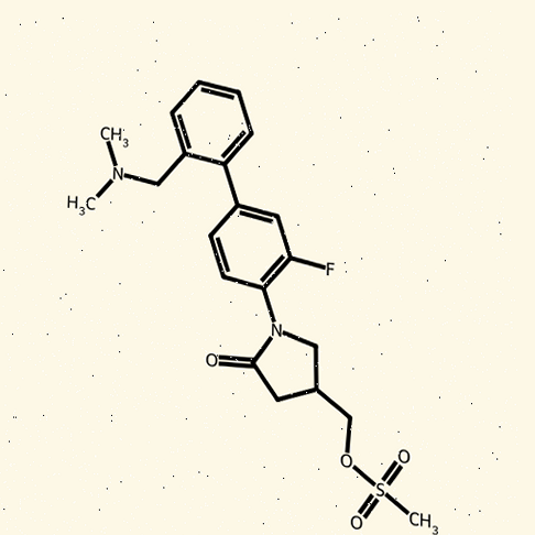 CN(C)Cc1ccccc1-c1ccc(N2CC(COS(C)(=O)=O)CC2=O)c(F)c1